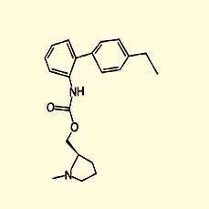 CCc1ccc(-c2ccccc2NC(=O)OC[C@H]2CCCN2C)cc1